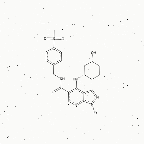 CCn1ncc2c(N[C@H]3CCC[C@@H](O)C3)c(C(=O)NCc3ccc(S(C)(=O)=O)cc3)cnc21